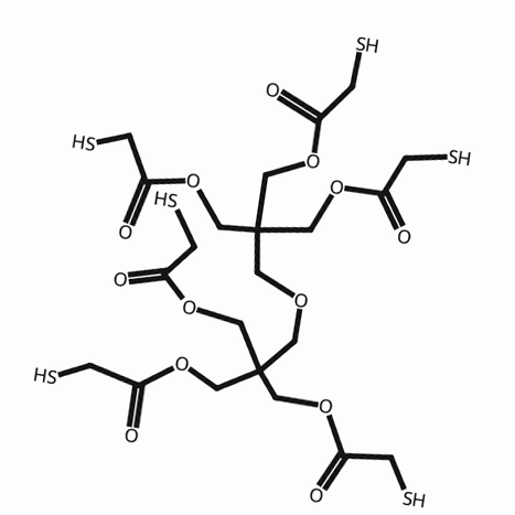 O=C(CS)OCC(COCC(COC(=O)CS)(COC(=O)CS)COC(=O)CS)(COC(=O)CS)COC(=O)CS